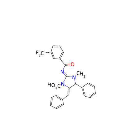 CN1/C(=N\C(=O)c2cccc(C(F)(F)F)c2)N(C(=O)O)/C(=C\c2ccccc2)C1c1ccccc1